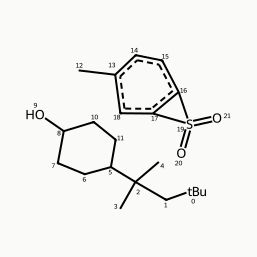 CC(C)(C)CC(C)(C)C1CCC(O)CC1.Cc1ccc2c(c1)S2(=O)=O